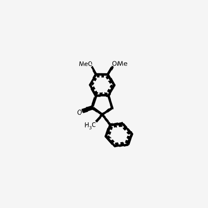 COc1cc2c(cc1OC)C(=O)C(C)(c1ccccc1)C2